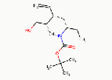 C=C[C@H](C[C@H](CC)NC(=O)OC(C)(C)C)[C@H](C)CO